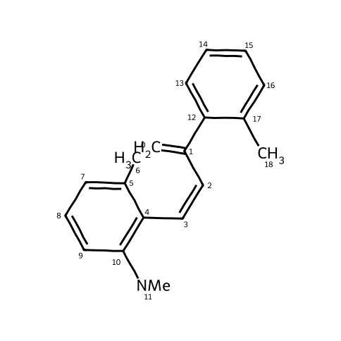 C=C(/C=C\c1c(C)cccc1NC)c1ccccc1C